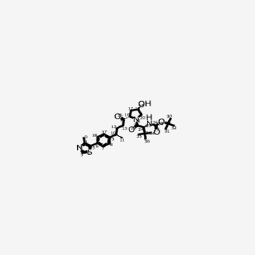 Cc1ncsc1-c1ccc([C@H](C)CCC(=O)[C@@H]2C[C@@H](O)CN2C(=O)[C@@H](NC(=O)OC(C)(C)C)C(C)(C)C)cc1